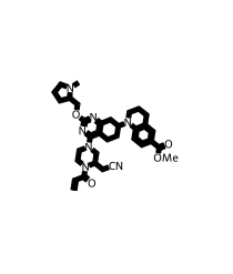 C=CC(=O)N1CCN(c2nc(OCC3CCCN3C)nc3c2CCC(N2CCCc4cc(C(=O)OC)ccc42)C3)CC1CC#N